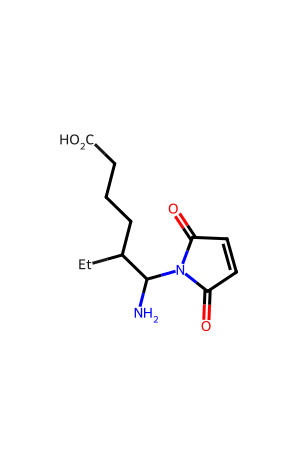 CCC(CCCC(=O)O)C(N)N1C(=O)C=CC1=O